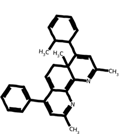 CC1=NC2=c3nc(C)cc(-c4ccccc4)c3=CCC2(C)C(C2C=CC=CC2C)=C1